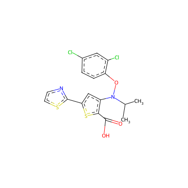 CC(C)N(Oc1ccc(Cl)cc1Cl)c1cc(-c2nccs2)sc1C(=O)O